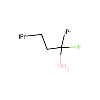 BC(F)(CCC(C)C)C(C)C